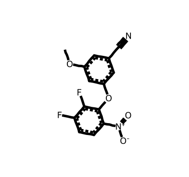 COc1cc(C#N)cc(Oc2c([N+](=O)[O-])ccc(F)c2F)c1